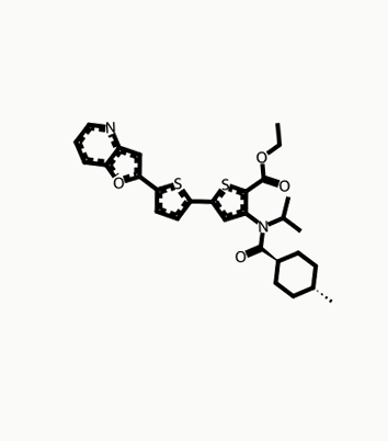 CCOC(=O)c1sc(-c2ccc(-c3cc4ncccc4o3)s2)cc1N(C(=O)[C@H]1CC[C@H](C)CC1)C(C)C